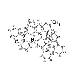 Cc1cc(C)c(B2c3cc([Si](c4ccccc4)(c4ccccc4)c4ccccc4)ccc3N3c4cccc5c4B(c4ccccc4O5)c4cc(C)cc2c43)c(C)c1